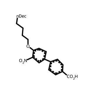 CCCCCCCCCCCCCCOc1ccc(-c2ccc(C(=O)O)cc2)cc1[N+](=O)[O-]